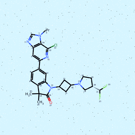 CC(C)n1cnc2cc(-c3ccc4c(c3)N(C3CC(N5CC[C@H](C(F)F)C5)C3)C(=O)C4(C)C)nc(Cl)c21